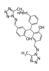 CCCCCc1cccc(C(c2cc(C=Nn3nnnc3C)ccc2O)c2cc(C=Nn3nnnc3C)ccc2O)c1